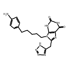 Nc1ccc(CCCCCn2c(Cc3nnn[nH]3)nc3c(=O)[nH]c(=O)[nH]c32)cc1